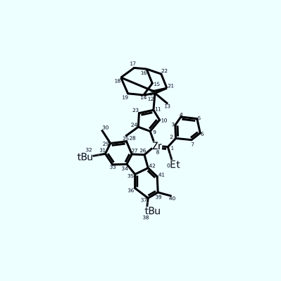 CC[C](c1ccccc1)=[Zr]([C]1=CC(C2(C)C3CC4CC(C3)CC2C4)=CC1C)[CH]1c2cc(C)c(C(C)(C)C)cc2-c2cc(C(C)(C)C)c(C)cc21